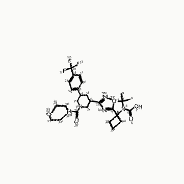 CC(C)(C)N(C(=O)O)C1(c2nc(C3CC(c4ccc(C(F)(F)F)cc4)CN(C(=O)N4CCOCC4)C3)no2)CCC1